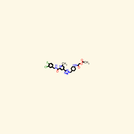 CC(=O)OCC(=O)NC1CCC(Cn2nnc(-c3cc(C)nc(C(=O)NCc4ccc(F)c(Cl)c4)c3)n2)CC1